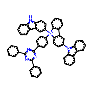 c1ccc(-c2nc(-c3ccccc3)nc(-c3ccc([N+]4(c5ccc6[nH]c7ccccc7c6c5)c5ccccc5-c5cc(-n6c7ccccc7c7ccccc76)ccc54)cc3)n2)cc1